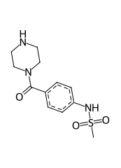 CS(=O)(=O)Nc1ccc(C(=O)N2CCNCC2)cc1